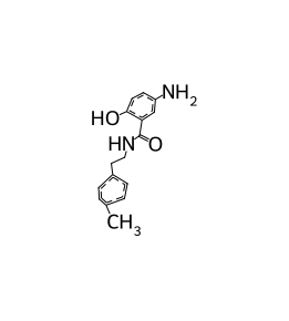 Cc1ccc(CCNC(=O)c2cc(N)ccc2O)cc1